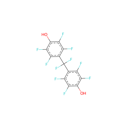 Oc1c(F)c(F)c(C(F)(F)c2c(F)c(F)c(O)c(F)c2F)c(F)c1F